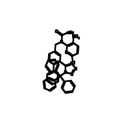 CCCCC(=O)N(Cc1ccc(-c2ccccc2)c(-c2nnnn2C(c2ccccc2)(c2ccccc2)c2ccccc2)c1)c1nc(Cl)ccc1[N+](=O)[O-]